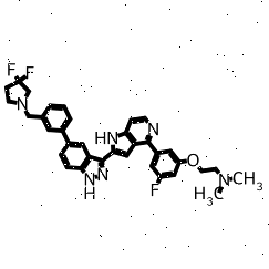 CN(C)CCOc1cc(F)cc(-c2nccc3[nH]c(-c4n[nH]c5ccc(-c6cccc(CN7CCC(F)(F)C7)c6)cc45)cc23)c1